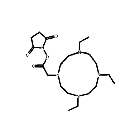 CCN1CCN(CC)CCN(CC(=O)ON2C(=O)CCC2=O)CCN(CC)CC1